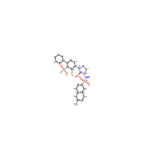 CS(=O)(=O)c1c(-c2ccccc2)ccc(N2CC[C@H](NS(=O)(=O)c3ccc4cc(Cl)ccc4c3)C2=O)c1F